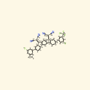 Cc1cc(F)cc(-c2ccc3c(c2)C(=C(C#N)C#N)c2cc4c(cc2-3)-c2ccc(-c3cc(F)cc(C(F)(F)F)c3)cc2C4=C(C#N)C#N)c1